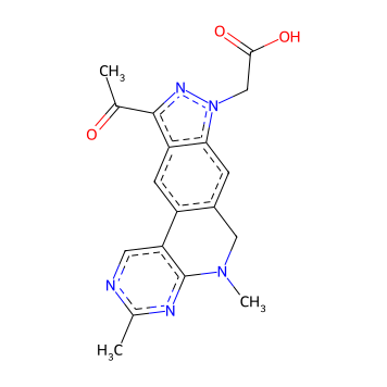 CC(=O)c1nn(CC(=O)O)c2cc3c(cc12)-c1cnc(C)nc1N(C)C3